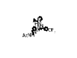 CC(=O)Nc1nc2c(Oc3cc(-c4ccc(C(F)(F)F)cc4)nc(NC[C@H]4CCCCN4CC4CC4)n3)cccc2s1